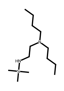 CCCCN(CCCC)CCN[Si](C)(C)C